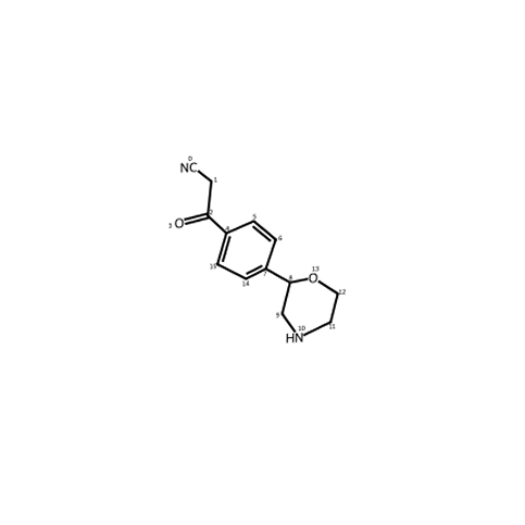 N#CCC(=O)c1ccc(C2CNCCO2)cc1